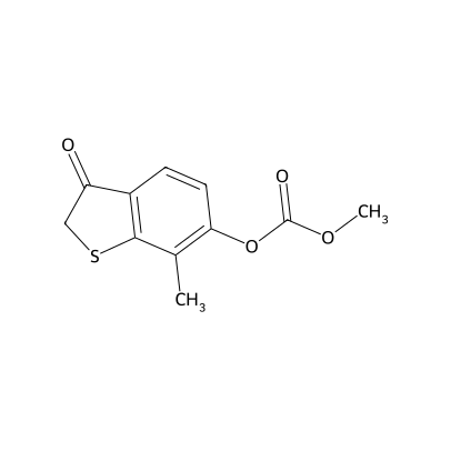 COC(=O)Oc1ccc2c(c1C)SCC2=O